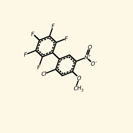 COc1cc(Cl)c(-c2c(F)c(F)c(F)c(F)c2F)cc1[N+](=O)[O-]